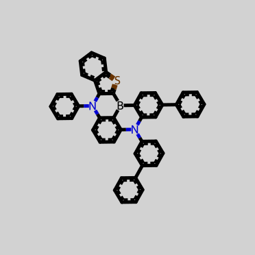 c1ccc(-c2cccc(N3c4cc(-c5ccccc5)ccc4B4c5sc6ccccc6c5N(c5ccccc5)c5cccc3c54)c2)cc1